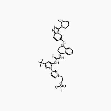 C[C@H]1CCCCN1c1nnc2ccc(O[C@@H]3CC[C@H](NC(=O)Nc4cc(C(C)(C)C)nn4-c4ccn(CCOS(C)(=O)=O)n4)c4ccccc43)cn12